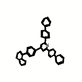 C1=C=C(c2cc(-c3ccc(-c4cccc5ccccc45)cc3)cc(-c3ccc(-c4ccccc4)cc3)n2)C=CC=1c1ccccc1